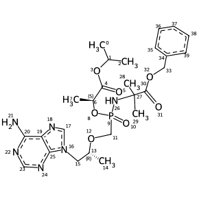 CC(C)OC(=O)[C@H](C)OP(=O)(CO[C@H](C)Cn1cnc2c(N)ncnc21)NC(C)(C)C(=O)OCc1ccccc1